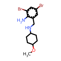 COC1CCC(NCc2cc(Br)cc(Br)c2N)CC1